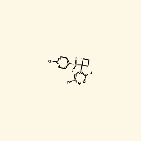 O=S(=O)(c1ccc(Cl)cc1)C1(c2cc(F)ccc2F)[CH]CC1